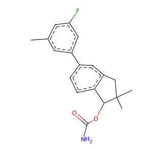 Cc1cc(F)cc(-c2ccc3c(c2)CC(C)(C)C3OC(N)=O)c1